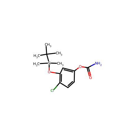 CC(C)(C)[Si](C)(C)Oc1cc(OC(N)=O)ccc1Cl